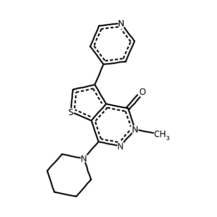 Cn1nc(N2CCCCC2)c2scc(-c3ccncc3)c2c1=O